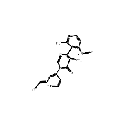 C\C=C/C(=C\C=C\Cl)n1cnc(-c2c(NCC)ccnc2C)c(C)c1=O